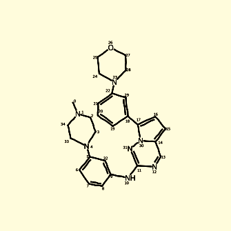 CN1CCN(c2cccc(Nc3ncc4ccc(-c5cccc(N6CCOCC6)c5)n4n3)c2)CC1